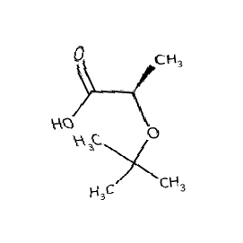 C[C@@H](OC(C)(C)C)C(=O)O